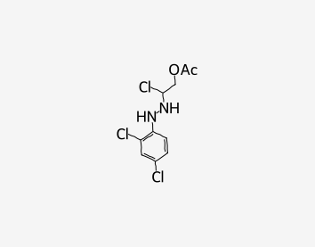 CC(=O)OCC(Cl)NNc1ccc(Cl)cc1Cl